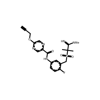 C#CCOc1cnc(C(=O)Nc2ccc(F)c(CS(=O)(=O)C(C)(C)C(=N)NC)c2)cn1